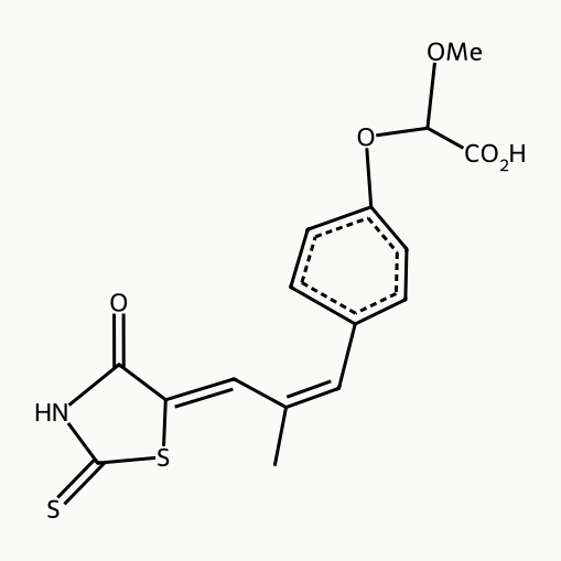 COC(Oc1ccc(C=C(C)C=C2SC(=S)NC2=O)cc1)C(=O)O